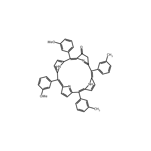 COc1cccc(-c2c3nc(c(-c4cccc(C)c4)c4ccc([nH]4)c(-c4cccc(C)c4)c4nc(c(-c5cccc(OC)c5)c5ccc2[nH]5)C(=O)C4)C=C3)c1